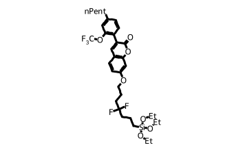 CCCCCc1ccc(-c2cc3ccc(OCCCC(F)(F)CCC[Si](OCC)(OCC)OCC)cc3oc2=O)c(OC(F)(F)F)c1